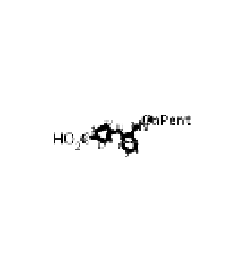 CCCCCON=CC1C2CCC(O2)C1Cc1ccc(C(=O)O)cc1